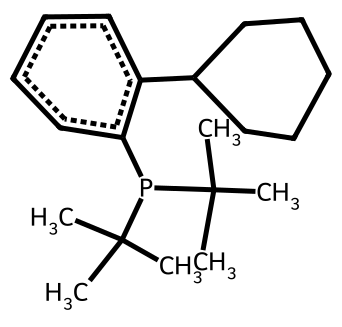 CC(C)(C)P(c1ccccc1C1CCCCC1)C(C)(C)C